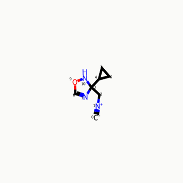 [C-]#[N+]CC1(C2CC2)N=CON1